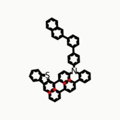 c1ccc(-c2ccc(-c3ccccc3N(c3ccc(-c4cccc(-c5ccc6ccccc6c5)c4)cc3)c3ccc(-c4cccc5c4sc4ccccc45)cc3)cc2)cc1